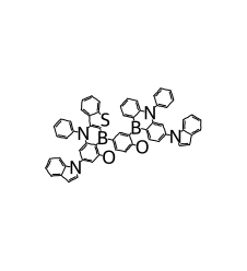 c1ccc(N2c3ccccc3B3c4cc5c(cc4Oc4cc(-n6ccc7ccccc76)cc2c43)Oc2cc(-n3ccc4ccccc43)cc3c2B5c2sc4ccccc4c2N3c2ccccc2)cc1